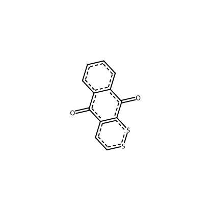 O=c1c2ccssc=2c(=O)c2ccccc12